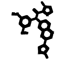 C=C(c1nccn1C)N(c1cc(OC)cc(OC)c1)c1ccc2ncc(-c3cnn(C)c3)nc2c1